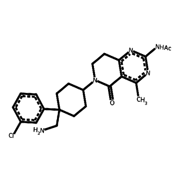 CC(=O)Nc1nc(C)c2c(n1)CCN(C1CCC(CN)(c3cccc(Cl)c3)CC1)C2=O